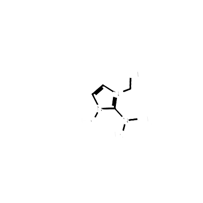 CC[n+]1ccn(C)c1N(C)C